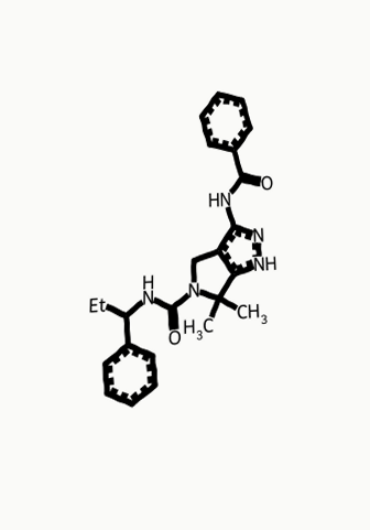 CCC(NC(=O)N1Cc2c(NC(=O)c3ccccc3)n[nH]c2C1(C)C)c1ccccc1